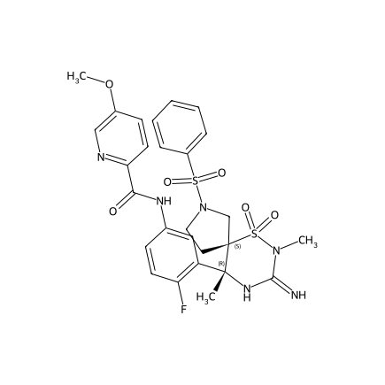 COc1ccc(C(=O)Nc2ccc(F)c([C@@]3(C)NC(=N)N(C)S(=O)(=O)[C@]34CCN(S(=O)(=O)c3ccccc3)C4)c2)nc1